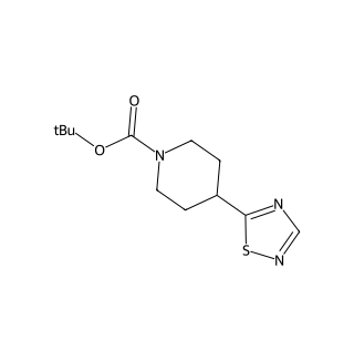 CC(C)(C)OC(=O)N1CCC(c2ncns2)CC1